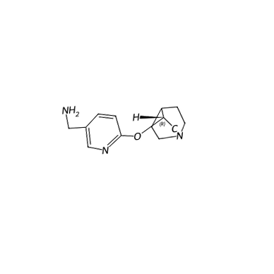 NCc1ccc(O[C@H]2CN3CCC2CC3)nc1